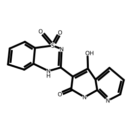 O=C1[N]c2ncccc2C(O)=C1C1=NS(=O)(=O)c2ccccc2N1